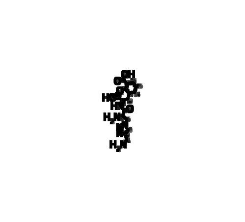 NCc1cn(C[C@H](N)C(=O)N[C@H]2Cc3cccc(C(=O)O)c3OB2O)nn1